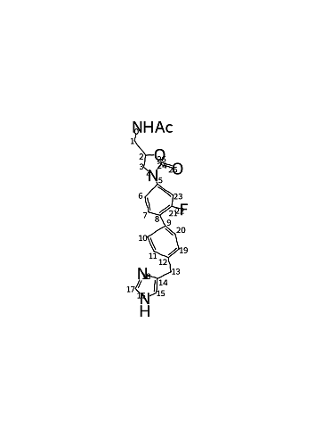 CC(=O)NCC1CN(c2ccc(-c3ccc(Cc4c[nH]cn4)cc3)c(F)c2)C(=O)O1